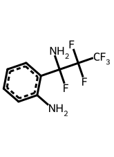 Nc1ccccc1C(N)(F)C(F)(F)C(F)(F)F